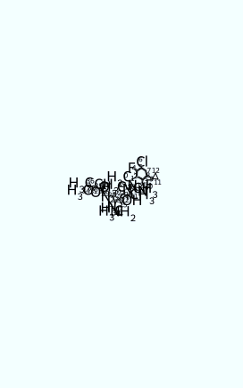 C=C(c1c(F)c(Cl)cc(C2(F)CC2)c1C#N)N(C)N(C)C(C)(O)/C=C(CC)/C(CNC(=O)OC(C)(C)C)=N\N